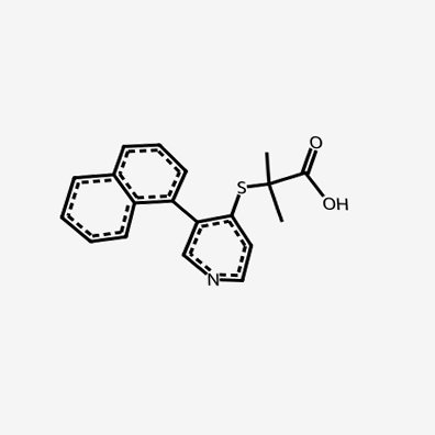 CC(C)(Sc1ccncc1-c1cccc2ccccc12)C(=O)O